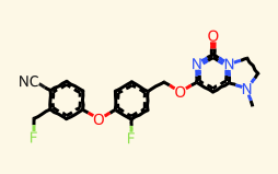 CN1CCn2c1cc(OCc1ccc(Oc3ccc(C#N)c(CF)c3)c(F)c1)nc2=O